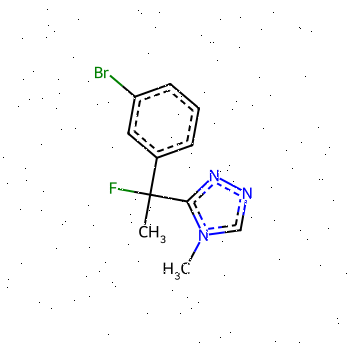 Cn1cnnc1C(C)(F)c1cccc(Br)c1